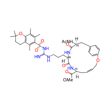 COC(=O)[C@@H]1CC=CCOc2ccc(cc2)C[C@H](NC(C)=O)C(=O)N[C@H](CCCNC(=N)NS(=O)(=O)c2c(C)c(C)c3c(c2C)CCC(C)(C)O3)C(=O)N1